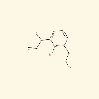 [CH2]C(C=C)c1cccc(CCC)c1Br